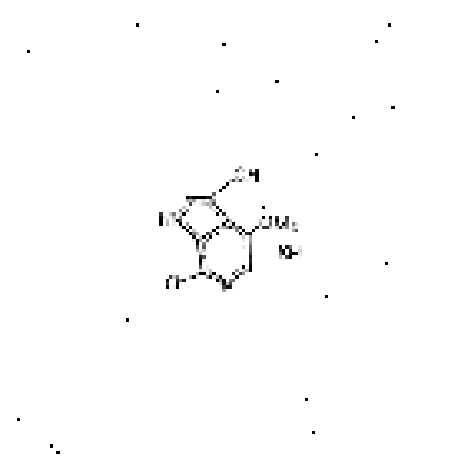 COc1cnc(Cl)c2[nH]cc(O)c12.[KH]